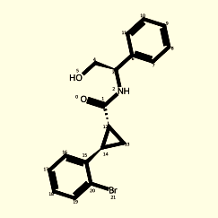 O=C(N[C@@H](CO)c1ccccc1)[C@@H]1C[C@H]1c1ccccc1Br